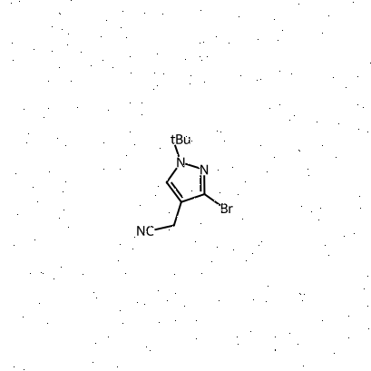 CC(C)(C)n1cc(CC#N)c(Br)n1